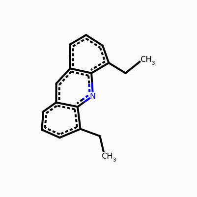 CCc1cccc2cc3cccc(CC)c3nc12